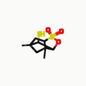 CC12CC3C(C)(C1)C(OS3(=O)=O)C2S